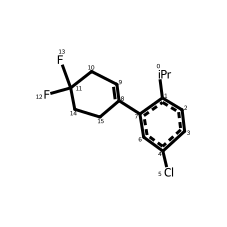 CC(C)c1ccc(Cl)cc1C1=CCC(F)(F)CC1